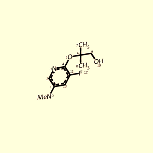 CNc1cnc(OC(C)(C)CO)c(F)c1